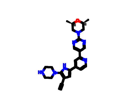 C#Cc1cc(-c2ccnc(-c3cnc(N4C[C@@H](C)O[C@@H](C)C4)nc3)c2)[nH]c1N1CCNCC1